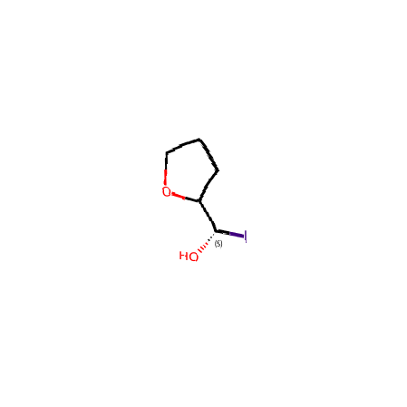 O[C@@H](I)C1CCCO1